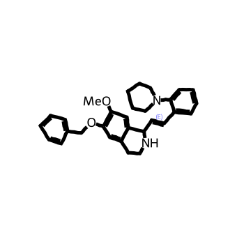 COc1cc2c(cc1OCc1ccccc1)CCNC2/C=C/c1ccccc1N1CCCCC1